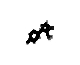 Cc1ccc(-c2nn[nH]c2O)cc1